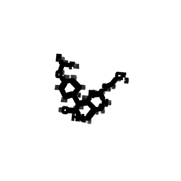 O=c1[nH]cc2cnc(SCC(F)(F)F)nc2c1-c1ccc(OC(F)F)cc1